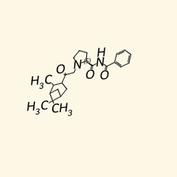 CC1C(C(=O)CN2CCC[C@H]2C(=O)NC(=O)c2ccccc2)CC2CC1C2(C)C